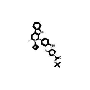 C[C@@H]1Cc2c([nH]c3ccccc23)[C@@H](c2ccc(N[C@@H]3CN(C(=O)OC(C)(C)C)C[C@H]3F)cc2)N1C12CC(C1)C2